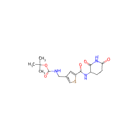 CC(C)(C)OC(=O)NCc1csc(C(=O)NC2CCC(=O)NC2=O)c1